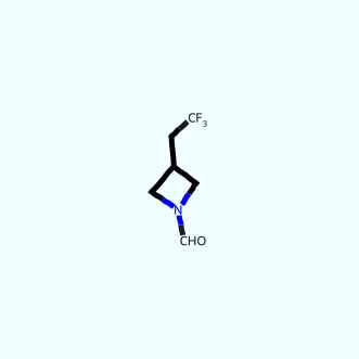 O=CN1CC(CC(F)(F)F)C1